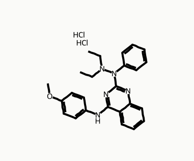 CCN(CC)N(c1ccccc1)c1nc(Nc2ccc(OC)cc2)c2ccccc2n1.Cl.Cl